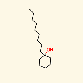 CCCCCCCCCC1(O)CCCCC1